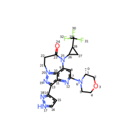 C[C@@H]1COCCN1c1cc2c3c(n1)c(-c1cc[nH]n1)nn3CCC(=O)N2C1CC1C(F)(F)F